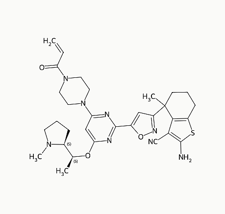 C=CC(=O)N1CCN(c2cc(O[C@@H](C)[C@@H]3CCCN3C)nc(-c3cc(C4(C)CCCc5sc(N)c(C#N)c54)no3)n2)CC1